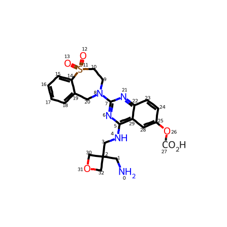 NCC1(CNc2nc(N3CCS(=O)(=O)c4ccccc4C3)nc3ccc(OC(=O)O)cc23)COC1